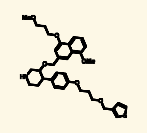 COCCCOc1cc(COC2CNCCC2c2ccc(OCCCOCc3ccsc3)cc2)cc2c(OC)cccc12